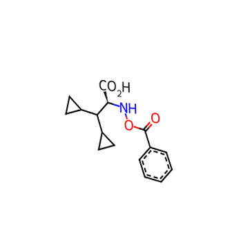 O=C(ON[C@H](C(=O)O)C(C1CC1)C1CC1)c1ccccc1